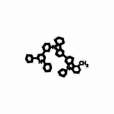 CC1CC=Cc2c1c1ccc(-c3ccc4c(c3)c3ccccc3n4-c3cccc(-c4cc(-c5ccccc5)nc(-c5ccccc5)c4)c3)cc1n2-c1ccccc1